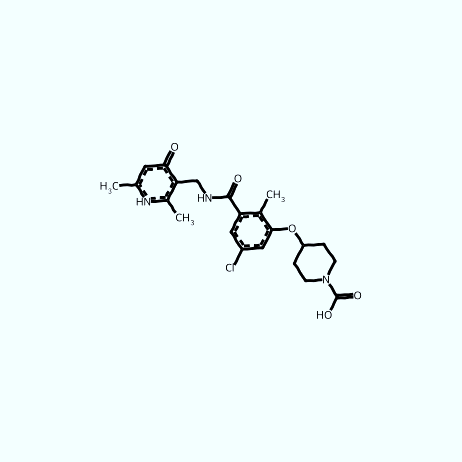 Cc1cc(=O)c(CNC(=O)c2cc(Cl)cc(OC3CCN(C(=O)O)CC3)c2C)c(C)[nH]1